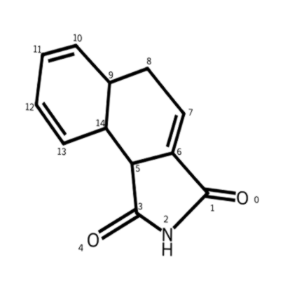 O=C1NC(=O)C2C1=CCC1C=CC=CC12